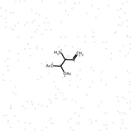 C=CC([SiH3])C(OC(C)=O)OC(C)=O